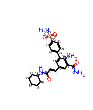 NC(=O)c1cc(C=CC(=O)NC2CCCCC2)cc(-c2ccc(S(N)(=O)=O)cc2)c1N